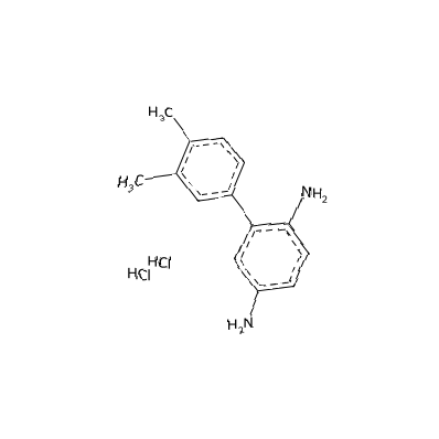 Cc1ccc(-c2cc(N)ccc2N)cc1C.Cl.Cl